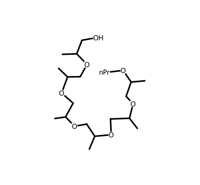 CCCOC(C)COC(C)COC(C)COC(C)COC(C)COC(C)CO